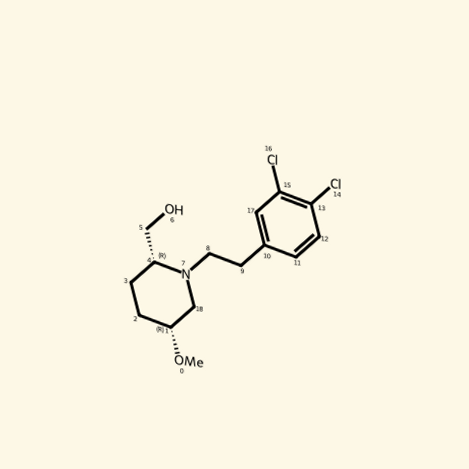 CO[C@@H]1CC[C@H](CO)N(CCc2ccc(Cl)c(Cl)c2)C1